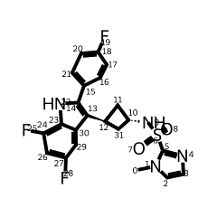 Cn1ccnc1S(=O)(=O)N[C@H]1C[C@H](c2c(-c3ccc(F)cc3)[nH]c3c(F)cc(F)cc32)C1